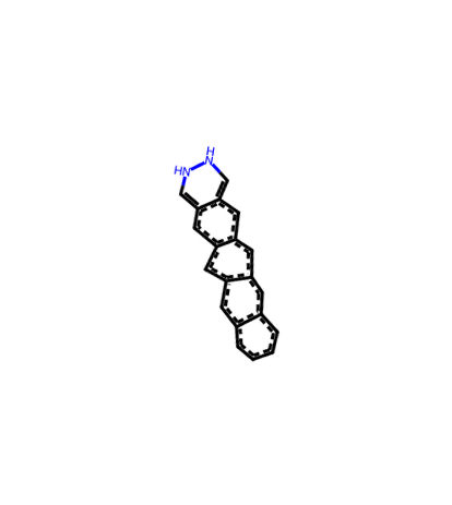 C1=c2cc3cc4cc5ccccc5cc4cc3cc2=CNN1